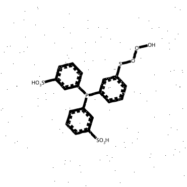 O=S(=O)(O)c1cccc(P(c2cccc(SOOO)c2)c2cccc(S(=O)(=O)O)c2)c1